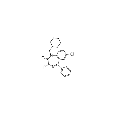 O=C1C(F)N=C(c2ccccc2)c2cc(Cl)ccc2N1CC1CCCCC1